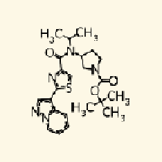 CC(C)N(C(=O)c1csc(-c2cnn3ccccc23)n1)[C@H]1CCN(C(=O)OC(C)(C)C)C1